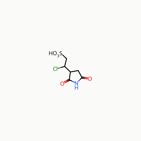 O=C1CC(C(Cl)CS(=O)(=O)O)C(=O)N1